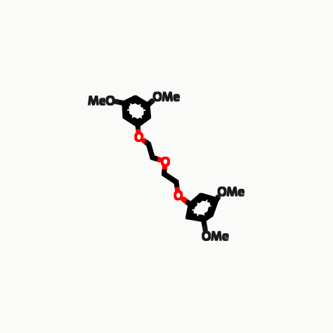 COc1cc(OC)cc(OCCOCCOc2cc(OC)cc(OC)c2)c1